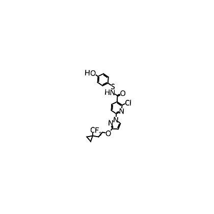 O=C(NSc1ccc(O)cc1)c1ccc(-n2ccc(OCCC3(C(F)(F)F)CC3)n2)nc1Cl